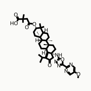 COc1cnc(-c2nnc(N[C@@]34CC[C@]5(C)[C@H](CC[C@@H]6[C@@]7(C)CC[C@H](OC(=O)CC(C)(C)C(=O)O)C(C)(C)[C@@H]7CC[C@]65C)C3=C(C(C)C)C(=O)C4)o2)nc1